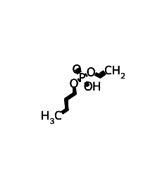 C=COP(=O)(O)OCCCC